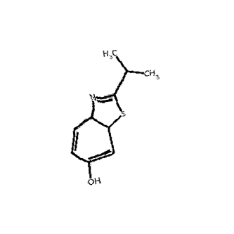 CC(C)C1=NC2C=CC(O)=CC2S1